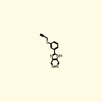 C#CCSc1cccc(-c2nc3cnncc3[nH]2)c1